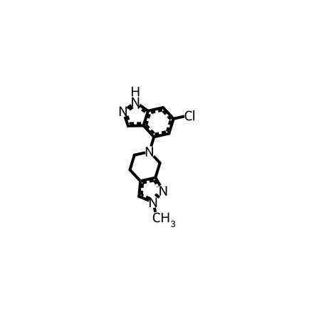 Cn1cc2c(n1)CN(c1cc(Cl)cc3[nH]ncc13)CC2